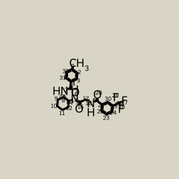 Cc1ccc(C(=O)N[C@@H]2CCCC[C@@H]2NC(=O)CNC(=O)c2cccc(C(F)(F)F)c2)cc1